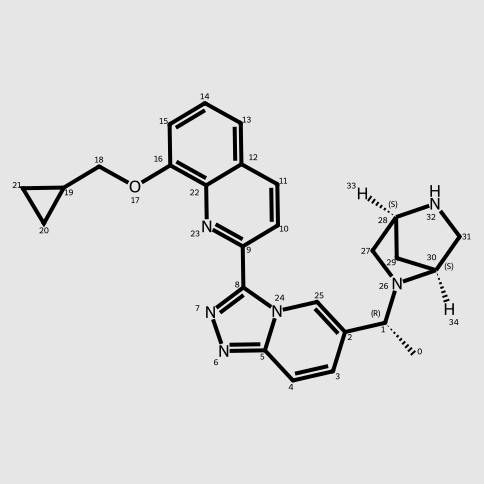 C[C@H](c1ccc2nnc(-c3ccc4cccc(OCC5CC5)c4n3)n2c1)N1C[C@@H]2C[C@H]1CN2